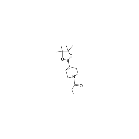 CCC(=O)N1CC=C(B2OC(C)(C)C(C)(C)O2)CC1